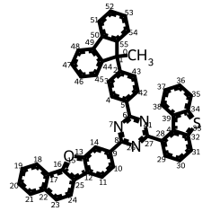 CC1(c2ccc(-c3nc(-c4ccc5c(c4)oc4c6ccccc6ccc54)nc(-c4cccc5sc6ccccc6c45)n3)cc2)c2ccccc2-c2ccccc21